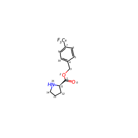 O=C(OCc1ccc(C(F)(F)F)cc1)[C@H]1CCCN1